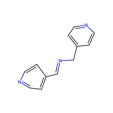 C(=NCc1ccncc1)c1ccncc1